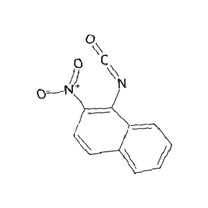 O=C=Nc1c([N+](=O)[O-])ccc2ccccc12